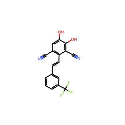 N#Cc1cc(O)c(O)c(C#N)c1/C=C/c1cccc(C(F)(F)F)c1